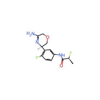 C[C@H](F)C(=O)Nc1ccc(F)c([C@]2(C)COCC(N)=N2)c1